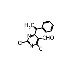 C=C(c1ccccc1)c1nc(Cl)nc(Cl)c1C=O